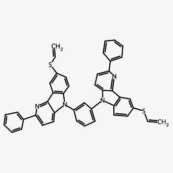 C=CSc1ccc2c(c1)c1nc(-c3ccccc3)ccc1n2-c1cccc(-n2c3ccc(SC=C)cc3c3nc(-c4ccccc4)ccc32)c1